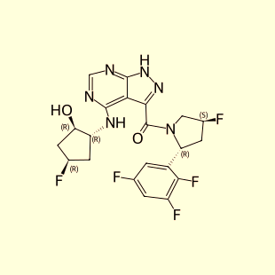 O=C(c1n[nH]c2ncnc(N[C@@H]3C[C@@H](F)C[C@H]3O)c12)N1C[C@@H](F)C[C@@H]1c1cc(F)cc(F)c1F